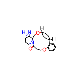 NC1CCCN2C(=O)CCOc3ccccc3[C@H]3CC[C@H](CC3)OCC12